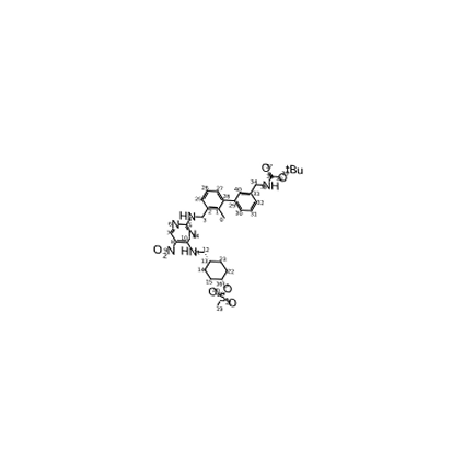 Cc1c(CNc2ncc([N+](=O)[O-])c(NC[C@H]3CC[C@@H](OS(C)(=O)=O)CC3)n2)cccc1-c1cccc(CNC(=O)OC(C)(C)C)c1